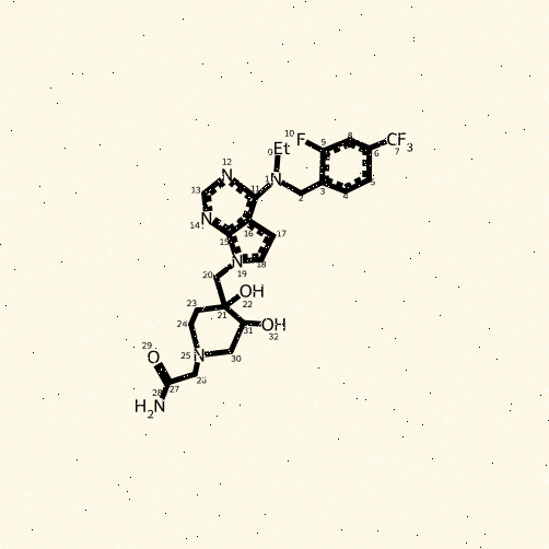 CCN(Cc1ccc(C(F)(F)F)cc1F)c1ncnc2c1ccn2CC1(O)CCN(CC(N)=O)CC1O